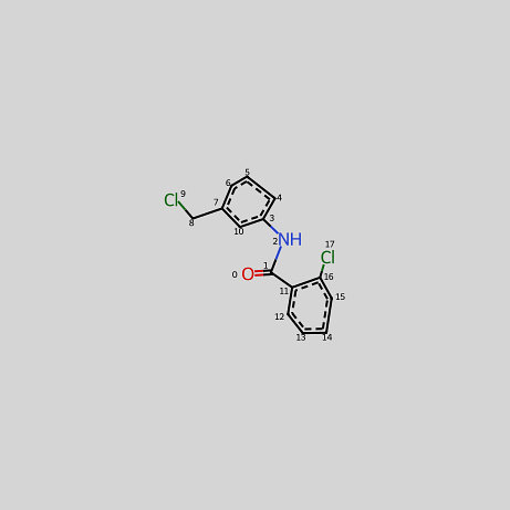 O=C(Nc1cccc(CCl)c1)c1ccccc1Cl